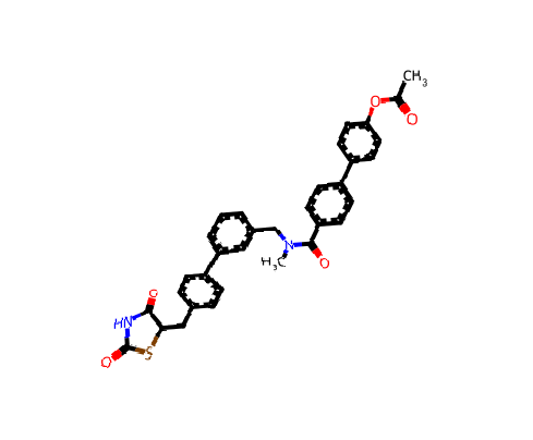 CC(=O)Oc1ccc(-c2ccc(C(=O)N(C)Cc3cccc(-c4ccc(CC5SC(=O)NC5=O)cc4)c3)cc2)cc1